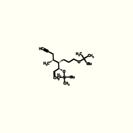 C#CC[C@@H](C)[C@H](CCCO[Si](C)(C)C(C)(C)C)[C@@H](C=C)O[Si](C)(C)C(C)(C)C